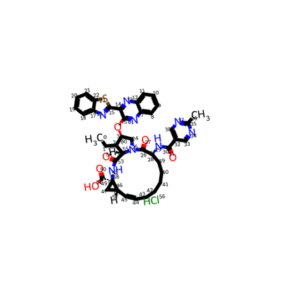 CCC1[C@@H](Oc2nc3ccccc3nc2-c2nc3ccccc3s2)CN2C(=O)[C@@H](NC(=O)c3cnc(C)nc3)CCCCCC=C[C@@H]3C[C@@]3(C(=O)O)NC(=O)[C@H]12.Cl